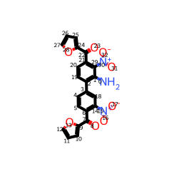 Nc1c(-c2ccc(C(=O)c3ccco3)c([N+](=O)[O-])c2)ccc(C(=O)c2ccco2)c1[N+](=O)[O-]